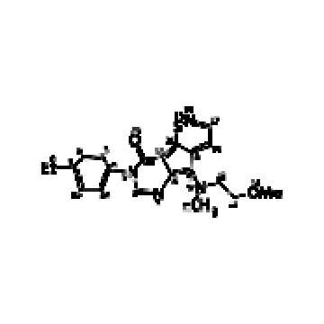 CCc1ccc(-n2cnc3c(N(C)CCOC)c4ccnsc-4c3c2=O)cc1